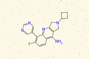 Nc1c2c(nc3c(-c4cncnc4)c(F)ccc13)CN(C1CCC1)C2